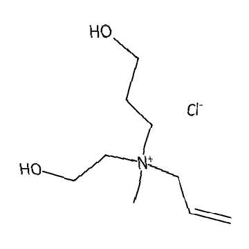 C=CC[N+](C)(CCO)CCCO.[Cl-]